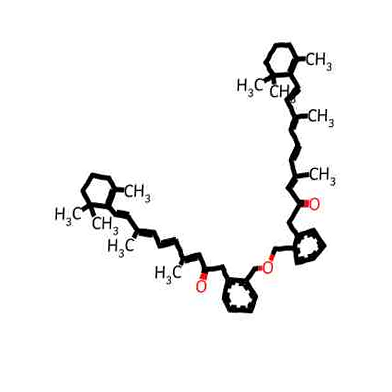 CC1=C(/C=C/C(C)=C/C=C/C(C)=C/C(=O)Cc2ccccc2COCc2ccccc2CC(=O)/C=C(C)/C=C/C=C(C)/C=C/C2=C(C)CCCC2(C)C)C(C)(C)CCC1